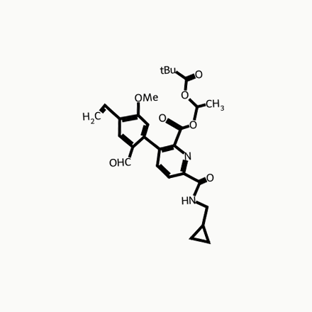 C=Cc1cc(C=O)c(-c2ccc(C(=O)NCC3CC3)nc2C(=O)OC(C)OC(=O)C(C)(C)C)cc1OC